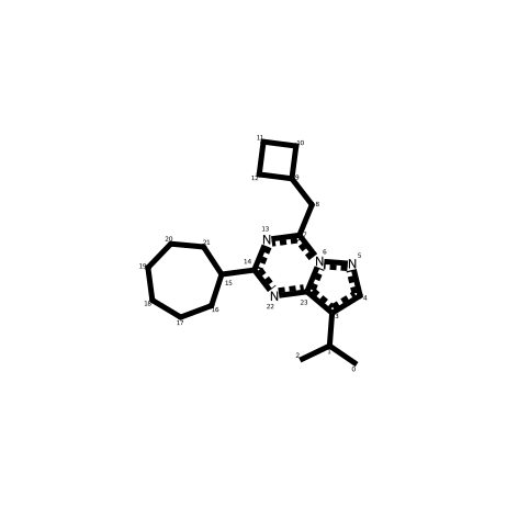 CC(C)c1cnn2c(CC3CCC3)nc(C3CCCCCC3)nc12